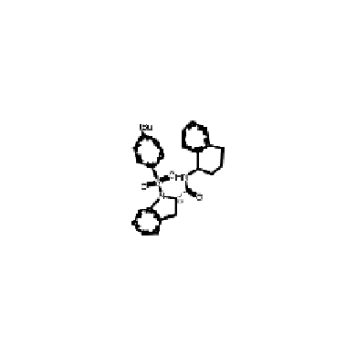 CC(C)(C)c1ccc(S(=O)(=O)N2c3ccccc3C[C@H]2C(=O)NC2CCCc3ccccc32)cc1